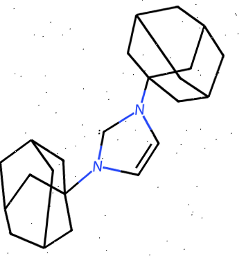 [C]1N(C23CC4CC(CC(C4)C2)C3)C=CN1C12CC3CC(CC(C3)C1)C2